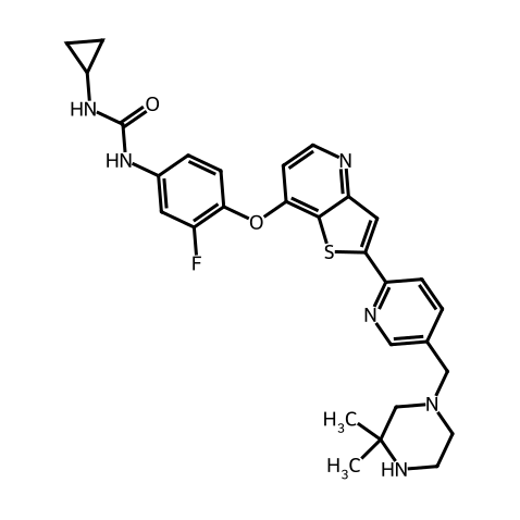 CC1(C)CN(Cc2ccc(-c3cc4nccc(Oc5ccc(NC(=O)NC6CC6)cc5F)c4s3)nc2)CCN1